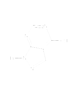 CC(C)n1ncc2c(S)ncnc21